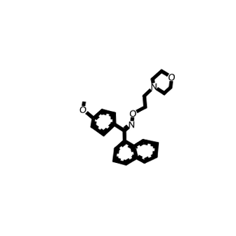 COc1ccc(C(=NOCCN2CCOCC2)c2cccc3ccccc23)cc1